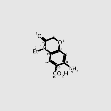 CCN1C(=O)COc2cc(N)c(C(=O)O)cc21